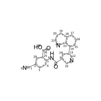 N#Cc1ccc(NC(=O)c2cncc(-c3cccc4cccnc34)c2)c(C(=O)O)c1